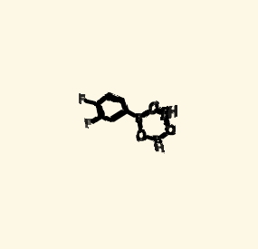 Fc1ccc(B2OBOBO2)cc1F